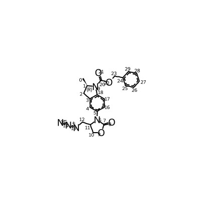 C[C@@H]1Cc2cc(N3C(=O)OCC3CN=[N+]=[N-])ccc2N1C(=O)OCc1ccccc1